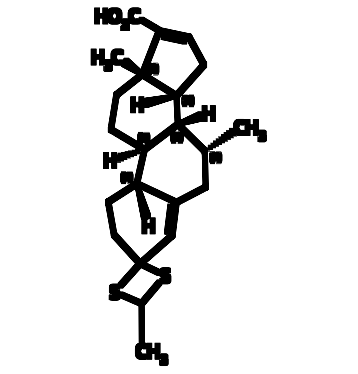 CC1SC2(C=C3C[C@@H](C)[C@@H]4[C@H](CC[C@]5(C)C(C(=O)O)=CC[C@H]45)[C@H]3CC2)S1